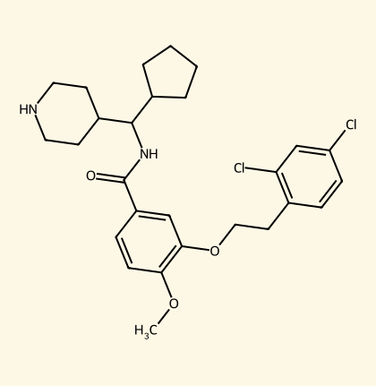 COc1ccc(C(=O)NC(C2CCCC2)C2CCNCC2)cc1OCCc1ccc(Cl)cc1Cl